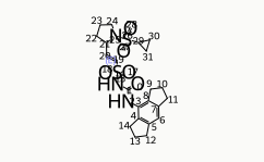 O=C(Nc1c2c(cc3c1CCC3)CCC2)NS(=O)(=O)/C=C/C1CCCN1S(=O)(=O)C1CC1